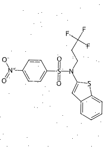 O=[N+]([O-])c1ccc(S(=O)(=O)N(CCC(F)(F)F)c2cc3ccccc3s2)cc1